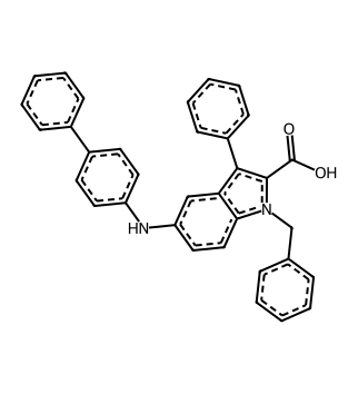 O=C(O)c1c(-c2ccccc2)c2cc(Nc3ccc(-c4ccccc4)cc3)ccc2n1Cc1ccccc1